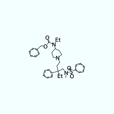 CCN(C(=O)OCc1ccccc1)C1CCN(CCC(CC)(CN(C)S(=O)(=O)c2ccccc2)c2ccccc2)CC1